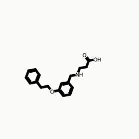 O=C(O)CCNCc1cccc(OCCc2ccccc2)c1